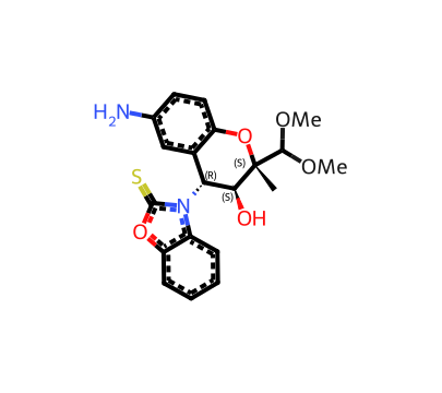 COC(OC)[C@@]1(C)Oc2ccc(N)cc2[C@@H](n2c(=S)oc3ccccc32)[C@@H]1O